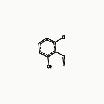 C=Cc1c(O)cccc1Cl